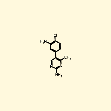 Cc1nc(N)ncc1-c1ccc(Cl)c(N)c1